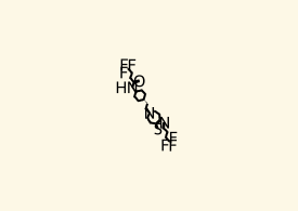 O=C(CCC(F)(F)F)N[C@H]1CC[C@H](CCN2CCc3nc(CCC(F)(F)F)sc3CC2)CC1